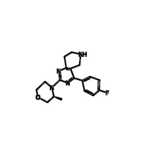 C[C@H]1COCCN1c1nc2c(c(-c3ccc(F)cc3)n1)CNCC2